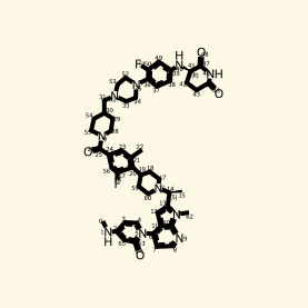 CNc1ccn(-c2ccnc3c2cc([C@H](C)N2CCC(c4c(C)cc(C(=O)N5CCC(CN6CCN(c7ccc(N[C@@H]8CCC(=O)NC8=O)cc7F)CC6)CC5)cc4F)CC2)n3C)c(=O)c1